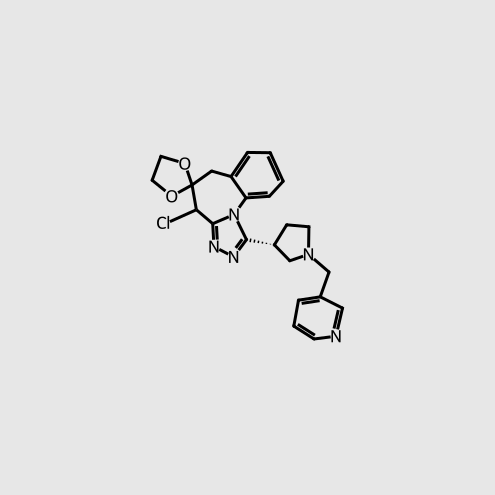 ClC1c2nnc([C@@H]3CCN(Cc4cccnc4)C3)n2-c2ccccc2CC12OCCO2